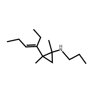 CC/C=C(\CC)C1(C)CC1(C)NCCC